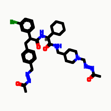 CC(=O)N=NCc1ccc(CC(C(=O)N[C@H](C(=O)NCC2CCN(CN=NC(C)=O)CC2)C2CCCCC2)c2cccc(Br)c2)cc1